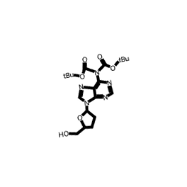 CC(C)(C)OC(=O)N(C(=O)OC(C)(C)C)c1ncnc2c1ncn2C1CCC(CO)O1